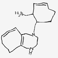 NC1C=CCCC1N1CNC2=C1C=CCC2